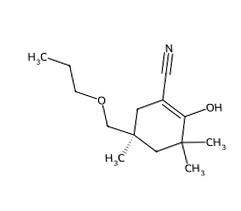 CCCOC[C@@]1(C)CC(C#N)=C(O)C(C)(C)C1